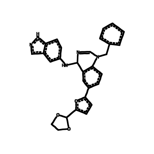 C1=NC(Nc2ccc3[nH]ncc3c2)c2cc(-c3ccc(C4OCCO4)o3)ccc2N1Cc1ccccc1